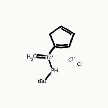 [CH2]=[Ti+2]([PH]C(C)(C)C)[C]1=CC=CC1.[Cl-].[Cl-]